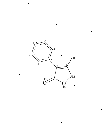 CC1=C(c2ccccc2)C(=O)OC1